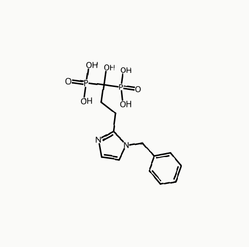 O=P(O)(O)C(O)(CCc1nccn1Cc1ccccc1)P(=O)(O)O